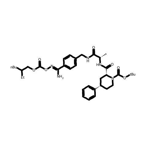 CCCCC(CC)COC(=O)O/N=C(\N)c1ccc(CNC(=O)[C@H](C)NC(=O)[C@H]2C[C@@H](c3ccccc3)CCN2C(=O)OC(C)(C)C)cc1